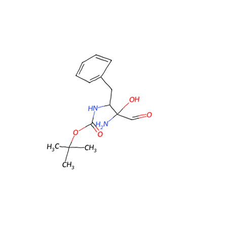 CC(C)(C)OC(=O)NC(Cc1ccccc1)C(N)(O)C=O